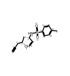 C#CC[C@@H](O)C[C@@H](C=C)NS(=O)(=O)c1ccc(C)cc1